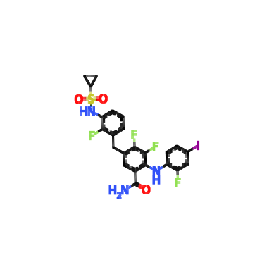 NC(=O)c1cc(Cc2cccc(NS(=O)(=O)C3CC3)c2F)c(F)c(F)c1Nc1ccc(I)cc1F